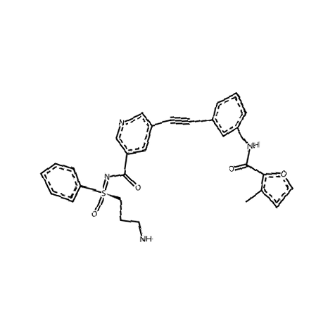 Cc1ccoc1C(=O)Nc1cccc(C#Cc2cncc(C(=O)N=[S@@](=O)(CCC[NH])c3ccccc3)c2)c1